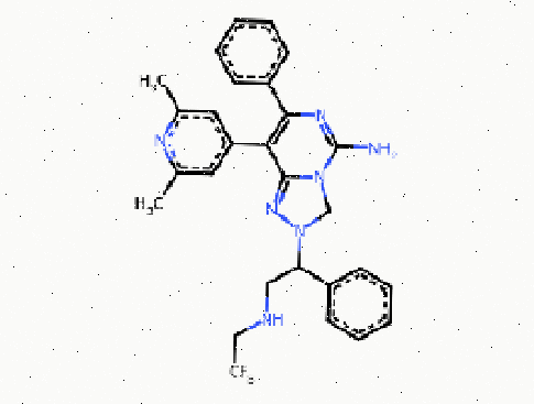 Cc1cc(C2=C(c3ccccc3)N=C(N)N3CN(C(CNCC(F)(F)F)c4ccccc4)N=C23)cc(C)n1